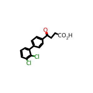 O=C(O)CCC(=O)c1ccc(-c2cccc(Cl)c2Cl)cc1